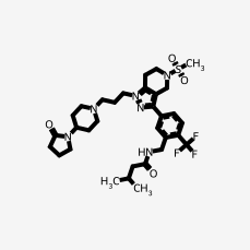 CC(C)CC(=O)NCc1cc(-c2nn(CCCN3CCC(N4CCCC4=O)CC3)c3c2CN(S(C)(=O)=O)CC3)ccc1C(F)(F)F